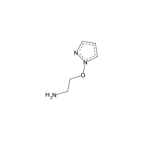 NCCOn1cccn1